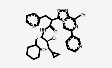 CC(C)c1nc(-c2cccnc2)cn2c(C(Cc3cccnc3)C(=O)N[C@@H](CC3CCCCC3)[C@@H](O)[C@@H](O)C3CC3)nnc12